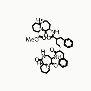 COC(=O)[C@@H]1CCC[C@@H]2SCC[C@H](NC(=O)[C@H](CC[C@H](Cc3ccccc3)C(=O)NC3CNC(=O)[C@H]4CCCCN4C3=O)Cc3ccccc3)C(=O)N21